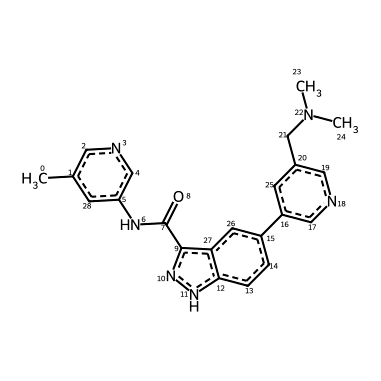 Cc1cncc(NC(=O)c2n[nH]c3ccc(-c4cncc(CN(C)C)c4)cc23)c1